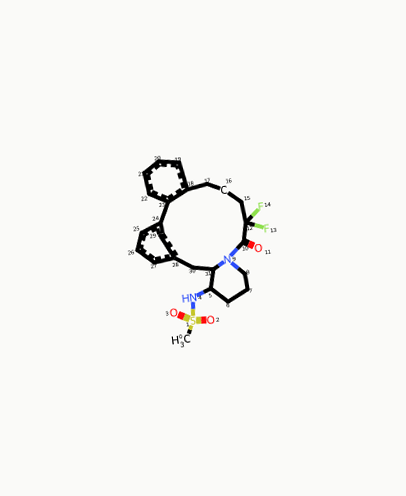 CS(=O)(=O)NC1CCCN2C(=O)C(F)(F)CCCc3ccccc3-c3cccc(c3)CC12